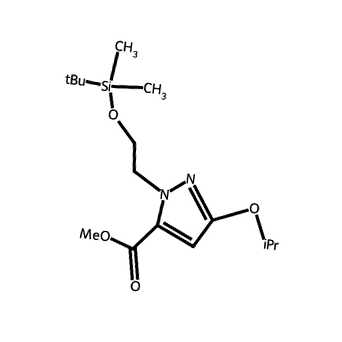 COC(=O)c1cc(OC(C)C)nn1CCO[Si](C)(C)C(C)(C)C